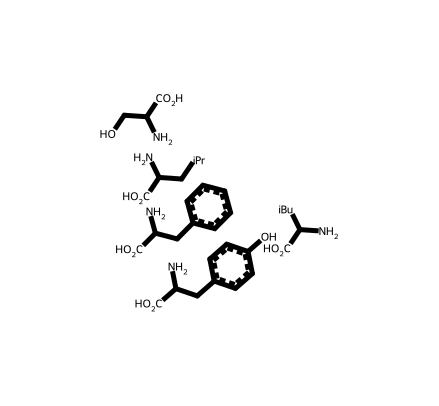 CC(C)CC(N)C(=O)O.CCC(C)C(N)C(=O)O.NC(CO)C(=O)O.NC(Cc1ccc(O)cc1)C(=O)O.NC(Cc1ccccc1)C(=O)O